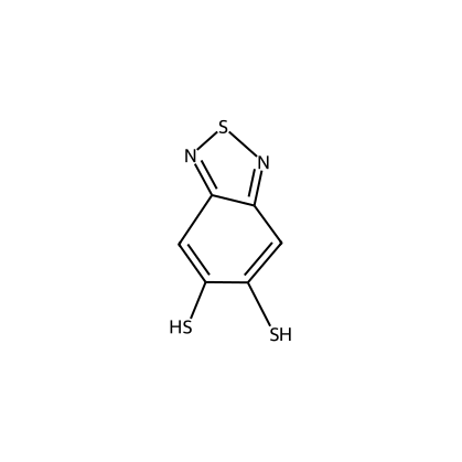 Sc1cc2nsnc2cc1S